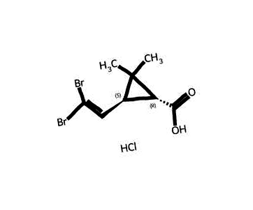 CC1(C)[C@H](C=C(Br)Br)[C@H]1C(=O)O.Cl